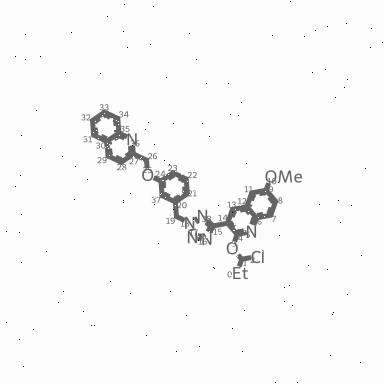 CCC(Cl)Oc1nc2ccc(OC)cc2cc1-c1nnn(Cc2cccc(OCc3ccc4ccccc4n3)c2)n1